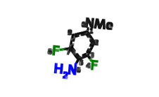 CNc1cc(F)c(N)c(F)c1